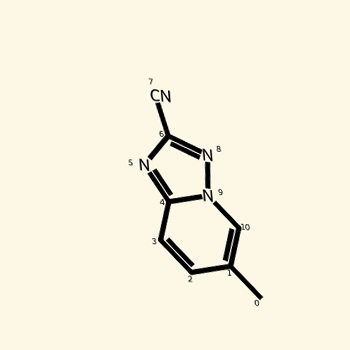 Cc1ccc2nc(C#N)nn2c1